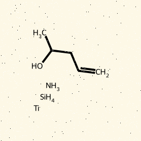 C=CCC(C)O.N.[SiH4].[Ti]